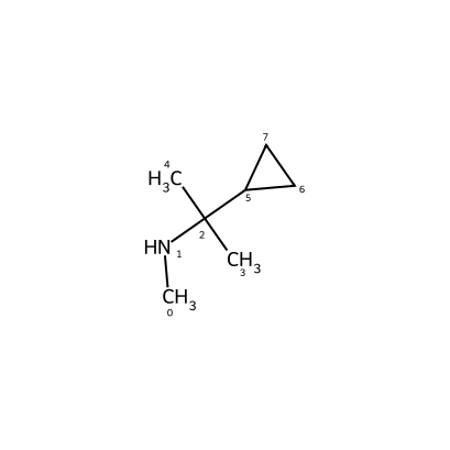 CNC(C)(C)C1CC1